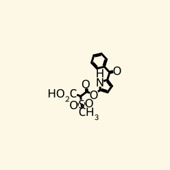 CS(=O)(=O)C(C(=O)O)C(=O)Oc1ccc(C(=O)c2ccccc2)[nH]1